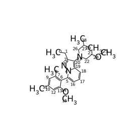 CCc1nn2c(-c3c(C)cc(C)cc3OC)cccc2c1N(CCOC)CC(C)C